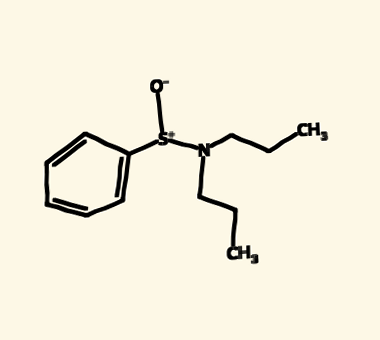 CCCN(CCC)[S+]([O-])c1ccccc1